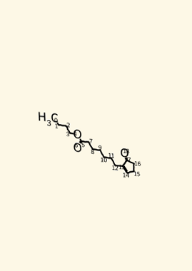 CCCCOC(=O)CCCCCCC1=CCCC1=O